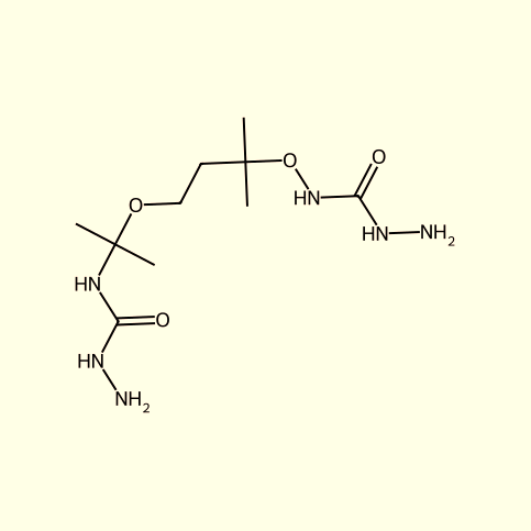 CC(C)(CCOC(C)(C)NC(=O)NN)ONC(=O)NN